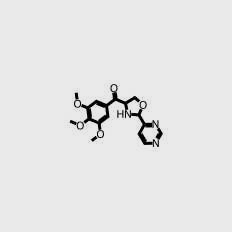 COc1cc(C(=O)C2COC(c3ccncn3)N2)cc(OC)c1OC